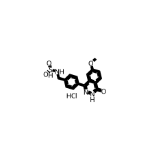 COc1ccc2c(=O)[nH]nc(-c3ccc(CN[SH](=O)=O)cc3)c2c1.Cl